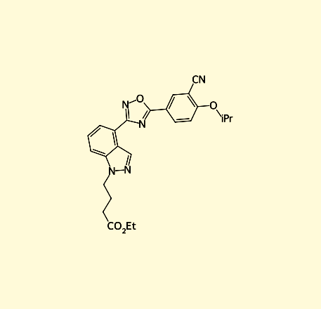 CCOC(=O)CCCn1ncc2c(-c3noc(-c4ccc(OC(C)C)c(C#N)c4)n3)cccc21